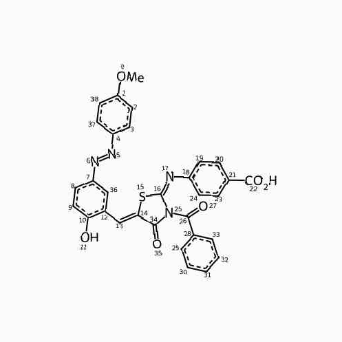 COc1ccc(N=Nc2ccc(O)c(C=C3SC(=Nc4ccc(C(=O)O)cc4)N(C(=O)c4ccccc4)C3=O)c2)cc1